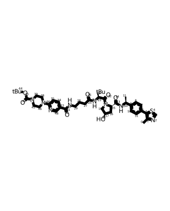 Cc1ncsc1-c1ccc([C@H](C)NC(=O)[C@@H]2C[C@@H](O)CN2C(=O)[C@@H](NC(=O)CCCNC(=O)c2ccc(N3CCN(C(=O)OC(C)(C)C)CC3)nc2)C(C)(C)C)cc1